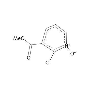 COC(=O)c1ccc[n+]([O-])c1Cl